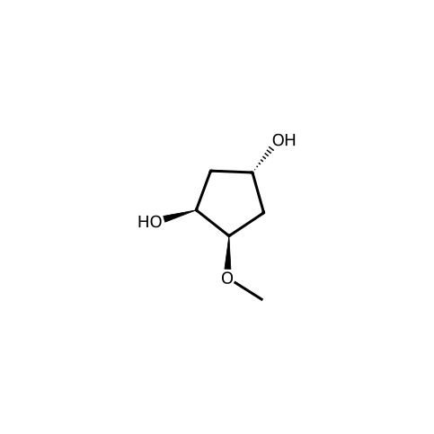 CO[C@@H]1C[C@@H](O)C[C@@H]1O